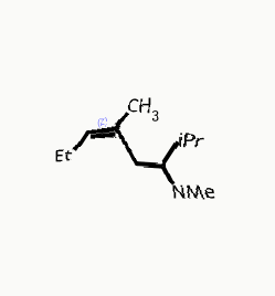 CC/C=C(/C)CC(NC)C(C)C